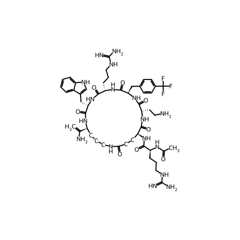 C=C(N)[C@@H]1CCCNC(=O)CC[C@H](NC(=O)[C@H](CCCNC(=N)N)NC(C)=O)C(=O)N[C@@H](CCN)C(=O)N[C@H](Cc2ccc(C(F)(F)F)cc2)C(=O)N[C@@H](CCCNC(=N)N)C(=O)N[C@@H](Cc2c[nH]c3ccccc23)C(=O)N1